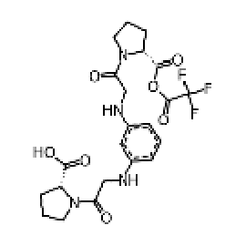 O=C(O)[C@H]1CCCN1C(=O)CNc1cccc(NCC(=O)N2CCC[C@@H]2C(=O)OC(=O)C(F)(F)F)c1